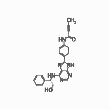 CC#CC(=O)Nc1ccc(-c2nc3c(N[C@H](CO)c4ccccc4)ncnc3[nH]2)cc1